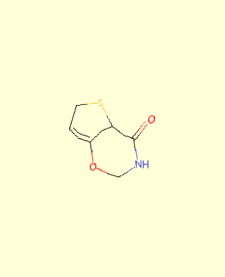 O=C1NCOC2=CCSC12